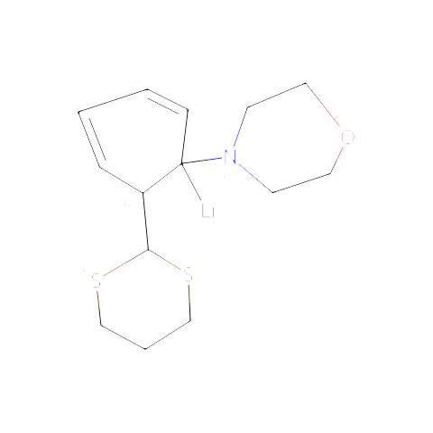 [Li][C]1(N2CCOCC2)C=CC=CC1C1SCCCS1